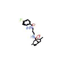 CC1C#CC2CC(C)CC(C(=O)NCCCNC(=O)c3ccc(F)cc3)(C1)C2